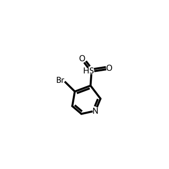 O=[SH](=O)c1cnccc1Br